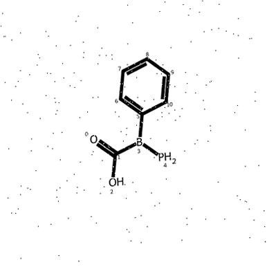 O=C(O)B(P)c1ccccc1